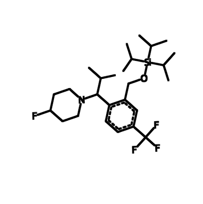 CC(C)C(c1ccc(C(F)(F)F)cc1CO[Si](C(C)C)(C(C)C)C(C)C)N1CCC(F)CC1